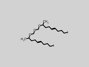 CC(CCC=CCCCI)OCOCOC(C)CCC=CCCCI